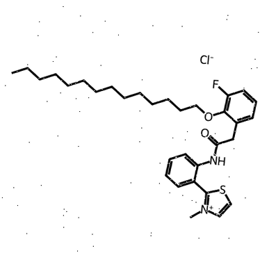 CCCCCCCCCCCCCCOc1c(F)cccc1CC(=O)Nc1ccccc1-c1scc[n+]1C.[Cl-]